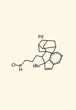 CC(C)(C)C1(C(CCCPCl)C23CC4CC(CC(C4)C2)C3)C=Cc2ccccc21.[Pd]